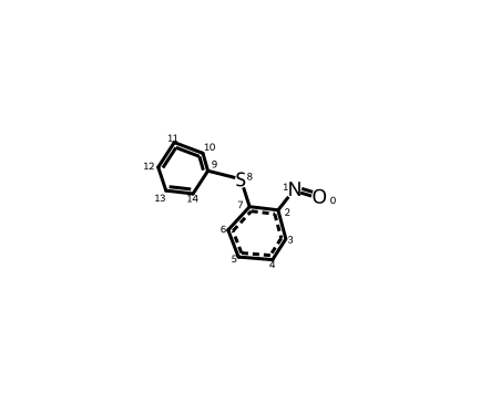 O=Nc1ccccc1SC1=C=C=CC=C1